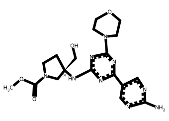 COC(=O)N1CC[C@](CO)(Nc2nc(-c3cnc(N)nc3)nc(N3CCOCC3)n2)C1